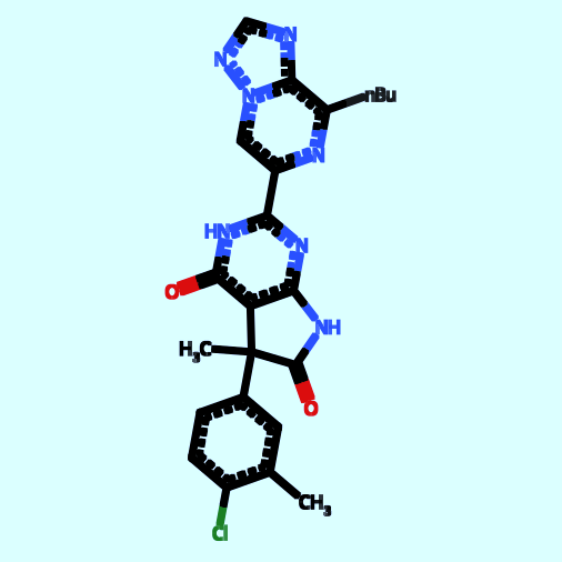 CCCCc1nc(-c2nc3c(c(=O)[nH]2)C(C)(c2ccc(Cl)c(C)c2)C(=O)N3)cn2ncnc12